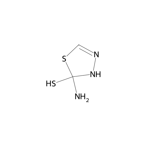 NC1(S)NN=CS1